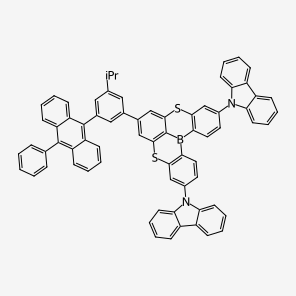 CC(C)c1cc(-c2cc3c4c(c2)Sc2cc(-n5c6ccccc6c6ccccc65)ccc2B4c2ccc(-n4c5ccccc5c5ccccc54)cc2S3)cc(-c2c3ccccc3c(-c3ccccc3)c3ccccc23)c1